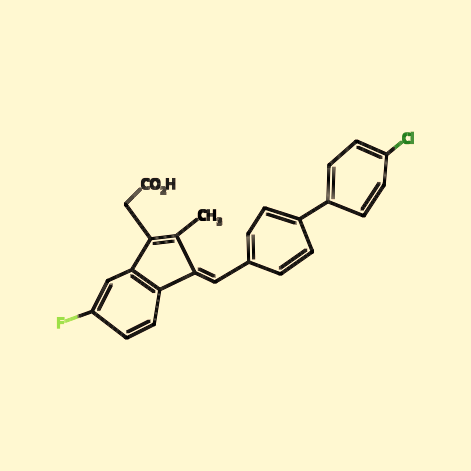 CC1=C(CC(=O)O)c2cc(F)ccc2/C1=C/c1ccc(-c2ccc(Cl)cc2)cc1